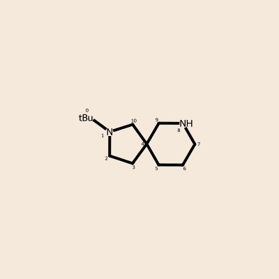 CC(C)(C)N1CCC2(CCCNC2)C1